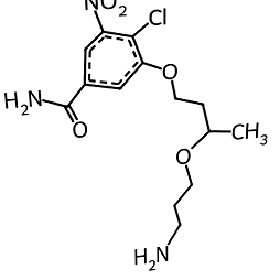 CC(CCOc1cc(C(N)=O)cc([N+](=O)[O-])c1Cl)OCCCN